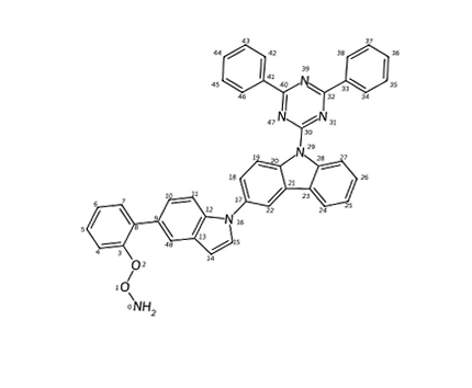 NOOc1ccccc1-c1ccc2c(ccn2-c2ccc3c(c2)c2ccccc2n3-c2nc(-c3ccccc3)nc(-c3ccccc3)n2)c1